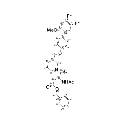 COc1cc(F)c(F)cc1-c1ccc(OCC2CCCN(C(=O)C(CC(=O)OCc3ccccc3)NC(C)=O)C2)cc1